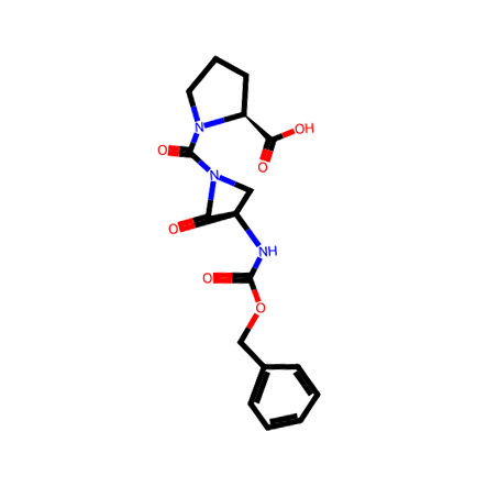 O=C(NC1CN(C(=O)N2CCC[C@H]2C(=O)O)C1=O)OCc1ccccc1